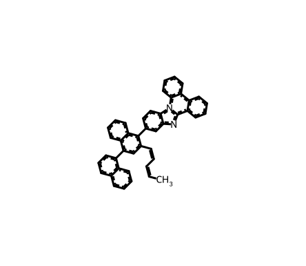 C/C=C\C=C/c1cc(-c2cccc3ccccc23)c2ccccc2c1-c1ccc2c(c1)nc1c3ccccc3c3ccccc3n21